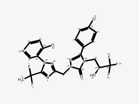 CC(F)(F)c1nc(Cn2nc(-c3ccc(Cl)cc3)n(C[C@H](O)C(F)(F)F)c2=O)nn1-c1cnccc1Cl